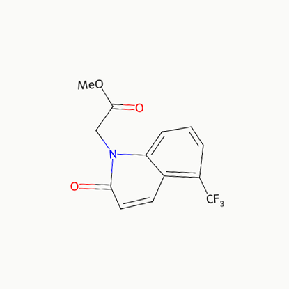 COC(=O)Cn1c(=O)ccc2c(C(F)(F)F)cccc21